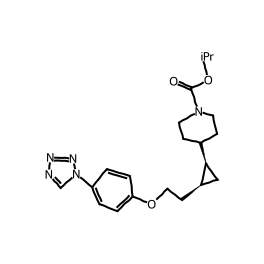 CC(C)OC(=O)N1CCC([C@H]2C[C@H]2CCOc2ccc(-n3cnnn3)cc2)CC1